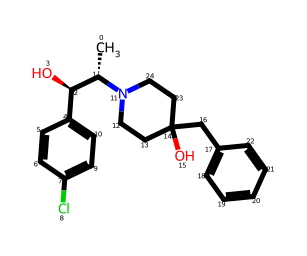 C[C@@H]([C@H](O)c1ccc(Cl)cc1)N1CCC(O)(Cc2ccccc2)CC1